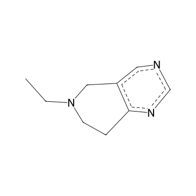 CCN1CCc2ncncc2C1